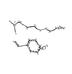 C=Cc1ccccc1.CCCCCCCCCCCCCCCCN(C)C.Cl